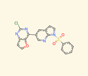 O=S(=O)(c1ccccc1)n1ccc2cc(-c3nc(Cl)nc4ccoc34)cnc21